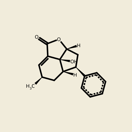 C[C@H]1C=C2C(=O)O[C@@H]3C[C@@H](c4ccccc4)[C@H](C1)[C@]23O